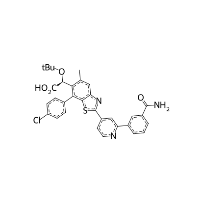 Cc1cc2nc(-c3ccnc(-c4cccc(C(N)=O)c4)c3)sc2c(-c2ccc(Cl)cc2)c1[C@H](OC(C)(C)C)C(=O)O